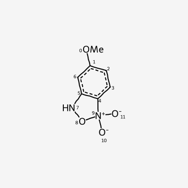 COc1ccc2c(c1)NO[N+]2([O-])[O-]